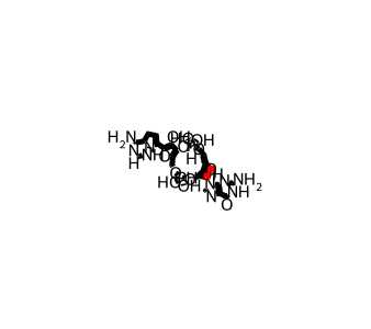 Nc1nc2c(ncn2C2=C3O[PH](O)(O)OCc4oc(C5=CCC6C(N)NCNN56)c(O)c4O[PH](O)(O)O/C=C(/O2)[C@H]3O)c(=O)[nH]1